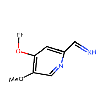 CCOc1cc(C=N)ncc1OC